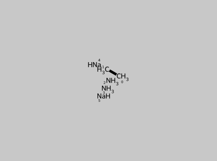 CC.N.N.[NaH].[NaH]